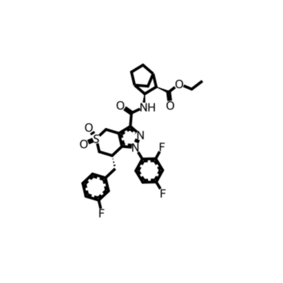 CCOC(=O)[C@@H]1C2CCC(C2)[C@@H]1NC(=O)c1nn(-c2ccc(F)cc2F)c2c1CS(=O)(=O)C[C@H]2Cc1cccc(F)c1